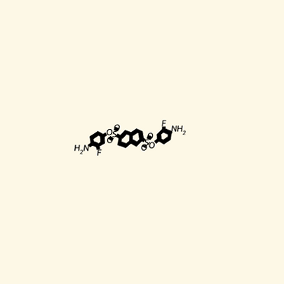 Nc1ccc(OS(=O)(=O)c2ccc3cc(S(=O)(=O)Oc4ccc(N)c(F)c4)ccc3c2)cc1F